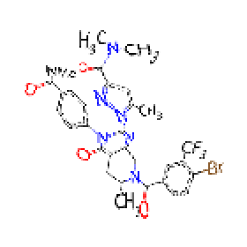 CNC(=O)c1ccc(-n2c(-n3nc(C(=O)N(C)C)cc3C)nc3c(c2=O)CC(C)N(C(=O)c2ccc(Br)c(C(F)(F)F)c2)C3)cc1